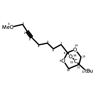 COCC#CCCCCC12OCC(C(C)(C)C)(CO1)CO2